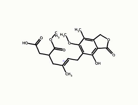 COC(=O)C(CC(=O)O)C/C(C)=C/Cc1c(O)c2c(c(C)c1OC)COC2=O